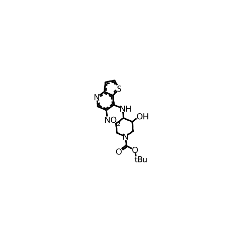 CC(C)(C)OC(=O)N1CCC(Nc2c([N+](=O)[O-])cnc3ccsc23)C(O)C1